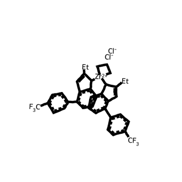 CCC1=Cc2c(-c3ccc(C(F)(F)F)cc3)cccc2[CH]1[Zr+2]1([CH]2C(CC)=Cc3c(-c4ccc(C(F)(F)F)cc4)cccc32)[CH2]C[CH2]1.[Cl-].[Cl-]